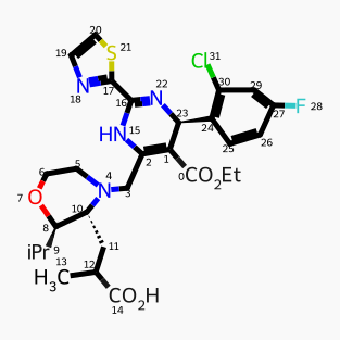 CCOC(=O)C1=C(CN2CCO[C@H](C(C)C)[C@H]2CC(C)C(=O)O)NC(c2nccs2)=N[C@H]1c1ccc(F)cc1Cl